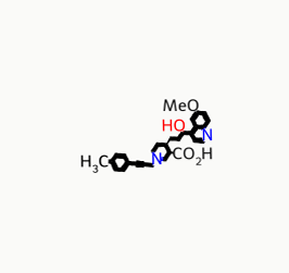 COc1ccc2nccc(C(O)CC[C@@H]3CCN(CC#Cc4ccc(C)cc4)C[C@@H]3C(=O)O)c2c1